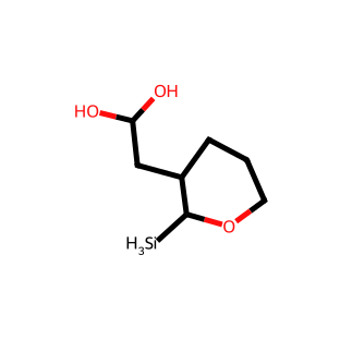 OC(O)CC1CCCOC1[SiH3]